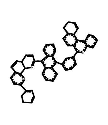 C1=CCCC(c2ccc3c(n2)C2N=C(c4c5ccccc5c(-c5cccc(-c6nc7ccccc7c7c8c(ccc67)CCC=C8)c5)c5ccccc45)C=CC2C=C3)=C1